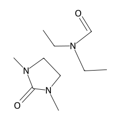 CCN(C=O)CC.CN1CCN(C)C1=O